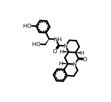 O=C1[C@H]2CCCN(C(=O)N[C@@H](CO)c3cccc(O)c3)[C@H]2C[C@H]2c3ccccc3CCN12